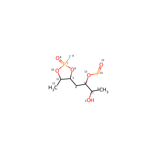 CC(O)C(CC1OP(=O)(F)OC1C)OP=O